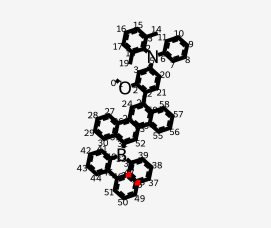 COc1cc(N(c2ccccc2)c2c(C)cccc2C)ccc1-c1cc2c3ccccc3c(B(c3ccccc3)c3ccccc3-c3ccccc3)cc2c2ccccc12